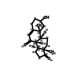 C[C@]12CC(O)CCC1=CC(=O)[C@@H]1[C@H]2CC[C@]2(C)C(=O)CC[C@@H]12